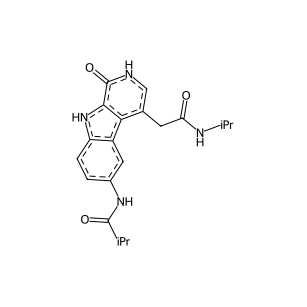 CC(C)NC(=O)Cc1c[nH]c(=O)c2[nH]c3ccc(NC(=O)C(C)C)cc3c12